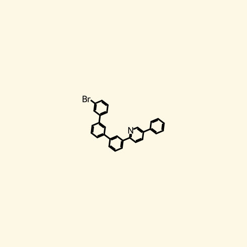 Brc1cccc(-c2cccc(-c3cccc(-c4ccc(-c5ccccc5)cn4)c3)c2)c1